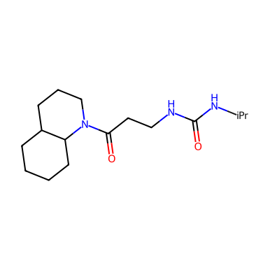 CC(C)NC(=O)NCCC(=O)N1CCCC2CCCCC21